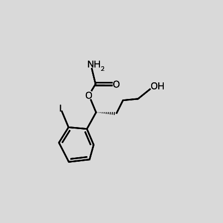 NC(=O)O[C@H](CCCO)c1ccccc1I